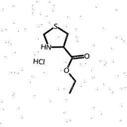 CCOC(=O)C1CSCN1.Cl